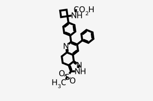 CS(=O)(=O)c1[nH]nc2c1CCc1nc(-c3ccc(C4(NC(=O)O)CCC4)cc3)c(-c3ccccc3)cc1-2